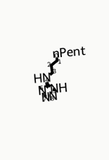 CCCCCCCCNc1nnn[nH]1